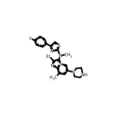 CCc1nc2c(C)cc(N3CCNCC3)cn2c1N(C)c1nc(-c2ccc(F)cc2)cs1